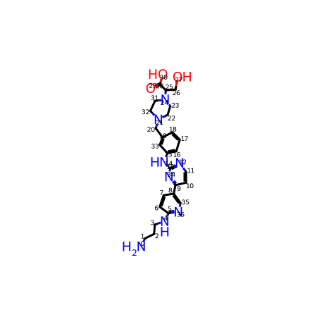 NCCCNc1ccc(-c2ccnc(Nc3cccc(CN4CCN(C(CO)C(=O)O)CC4)c3)n2)cn1